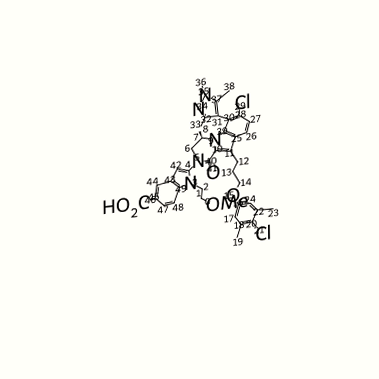 COCCn1c(N2C[C@@H](C)n3c(c(CCCOc4cc(C)c(Cl)c(C)c4)c4ccc(Cl)c(-c5c(C)nn(C)c5C)c43)C2=O)cc2cc(C(=O)O)ccc21